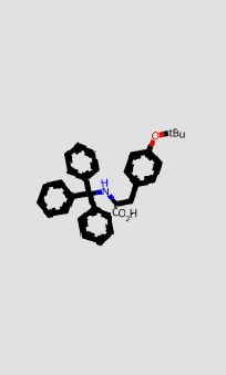 CC(C)(C)Oc1ccc(C[C@H](NC(c2ccccc2)(c2ccccc2)c2ccccc2)C(=O)O)cc1